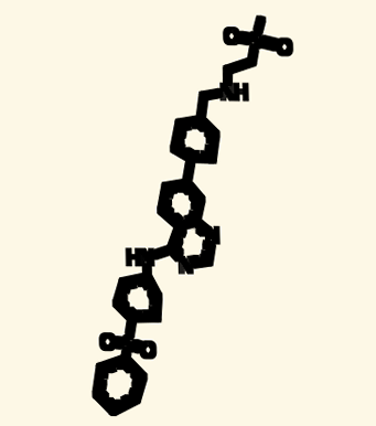 CS(=O)(=O)CCNCc1ccc(-c2ccc3c(Nc4ccc(S(=O)(=O)c5ccccc5)cc4)ncnc3c2)cc1